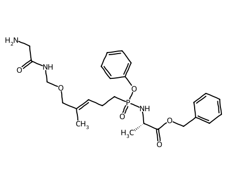 C/C(=C\CCP(=O)(N[C@@H](C)C(=O)OCc1ccccc1)Oc1ccccc1)COCNC(=O)CN